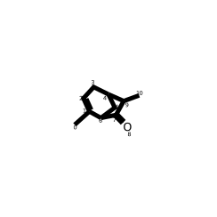 CC1=CCC2CC1C(=O)C2C